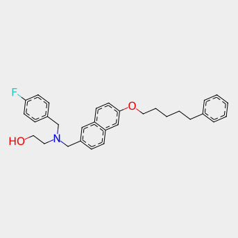 OCCN(Cc1ccc(F)cc1)Cc1ccc2cc(OCCCCCc3ccccc3)ccc2c1